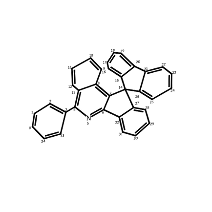 c1ccc(-c2nc3c(c4ccccc24)C2(c4ccccc4-c4ccccc42)c2ccccc2-3)cc1